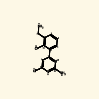 NCc1cccc(-c2cc(Cl)nc(N)n2)c1Cl